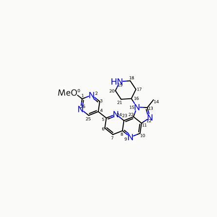 COc1ncc(-c2ccc3ncc4nc(C)n(C5CCNCC5)c4c3n2)cn1